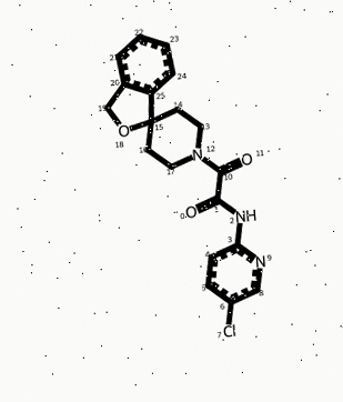 O=C(Nc1ccc(Cl)cn1)C(=O)N1CCC2(CC1)OCc1ccccc12